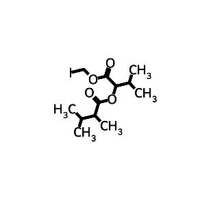 CC(C)C(C)C(=O)OC(C(=O)OCI)C(C)C